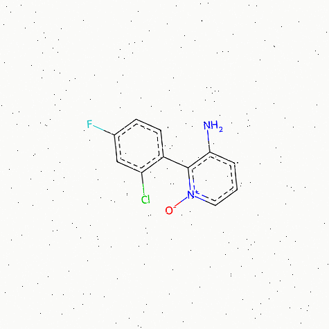 Nc1[c]cc[n+]([O-])c1-c1ccc(F)cc1Cl